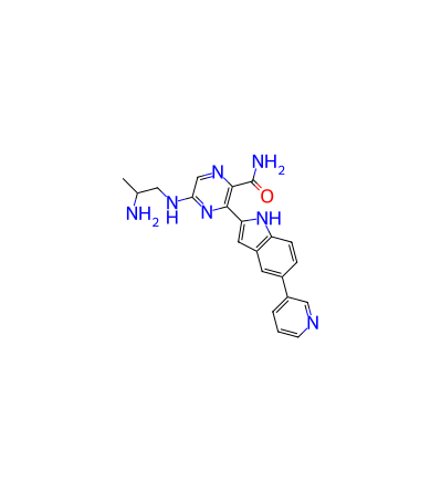 CC(N)CNc1cnc(C(N)=O)c(-c2cc3cc(-c4cccnc4)ccc3[nH]2)n1